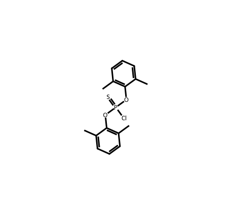 Cc1cccc(C)c1OP(=S)(Cl)Oc1c(C)cccc1C